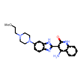 COCCN1CCN(c2ccc3nc(-c4c(N)c5ccccc5[nH]c4=O)[nH]c3c2)CC1